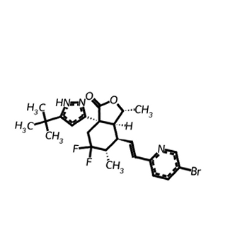 C[C@H]1OC(=O)[C@]2(c3cc(C(C)(C)C)[nH]n3)CC(F)(F)[C@@H](C)[C@H](C=Cc3ccc(Br)cn3)[C@H]12